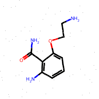 NCCOc1cccc(N)c1C(N)=O